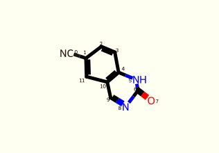 N#Cc1ccc2[nH]c(=O)ncc2c1